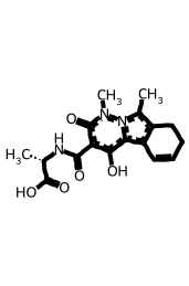 Cc1c2c(c3c(O)c(C(=O)N[C@@H](C)C(=O)O)c(=O)n(C)n13)C=CCC2